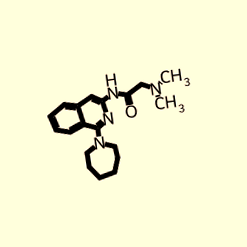 CN(C)CC(=O)Nc1cc2ccccc2c(N2CCCCCC2)n1